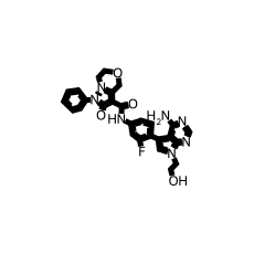 Nc1ncnc2c1c(-c1ccc(NC(=O)c3c4n(n(-c5ccccc5)c3=O)CCOC4)cc1F)cn2CCO